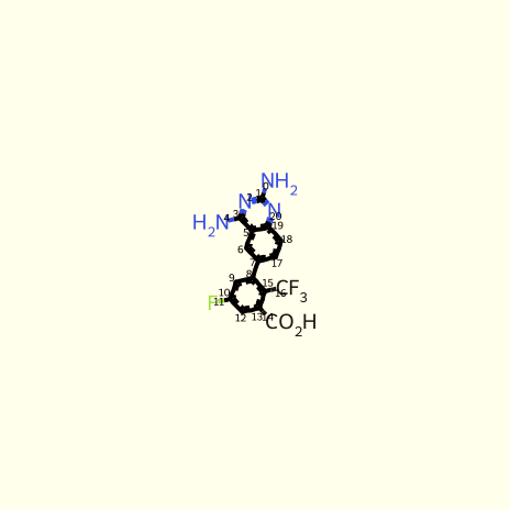 Nc1nc(N)c2cc(-c3cc(F)cc(C(=O)O)c3C(F)(F)F)ccc2n1